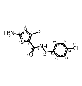 Cc1nc(N)sc1C(=O)NCc1ccc(Cl)cc1